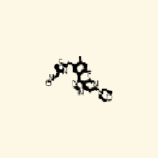 Cc1cc(F)c(-c2ncnc3cc(N4CCOCC4)ncc23)cc1Cc1nc(CN=O)cs1